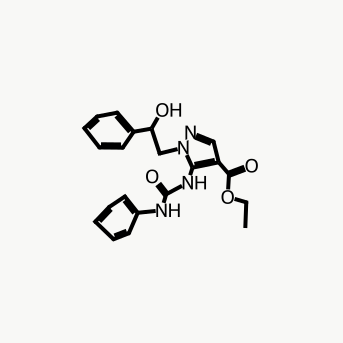 CCOC(=O)c1cnn(CC(O)c2ccccc2)c1NC(=O)Nc1ccccc1